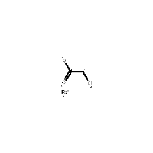 O=C([O-])CCl.[Rb+]